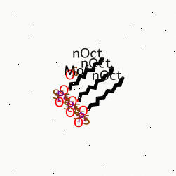 CCCCCCCC/C=C\CCCCCCCCOP([O-])(=S)[S-].CCCCCCCC/C=C\CCCCCCCCOP([O-])(=S)[S-].CCCCCCCC/C=C\CCCCCCCCOP([O-])(=S)[S-].O=S.[Mo+6]